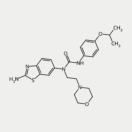 CC(C)Oc1ccc(NC(=O)N(CCN2CCOCC2)c2ccc3nc(N)sc3c2)cc1